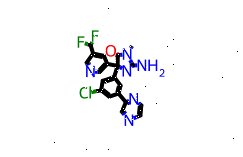 CN1C(=O)C(c2cc(Cl)cc(-c3cnccn3)c2)(c2cncc(C(F)F)c2)N=C1N